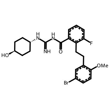 COc1ccc(Br)cc1CCc1c(F)cccc1C(=O)NC(=N)N[C@H]1CC[C@H](O)CC1